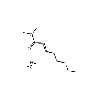 CCCCCC=CC(=O)N(C)C.Cl.Cl